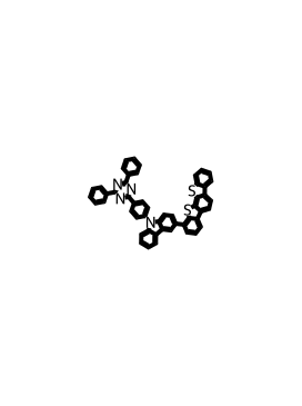 c1ccc(-c2nc(-c3ccccc3)nc(-c3ccc(-n4c5ccccc5c5cc(-c6cccc7c6sc6c7ccc7c8ccccc8sc76)ccc54)cc3)n2)cc1